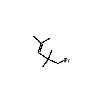 CC(C)=CC(C)(C)CC(C)C